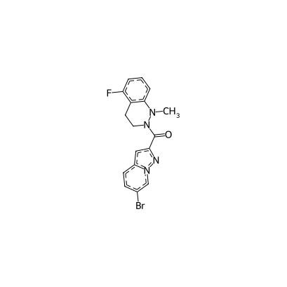 CN1c2cccc(F)c2CCN1C(=O)c1cc2ccc(Br)cn2n1